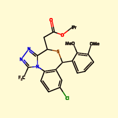 COc1cccc(C2SC(CC(=O)OC(C)C)c3nnc(C(F)(F)F)n3-c3ccc(Cl)cc32)c1OC